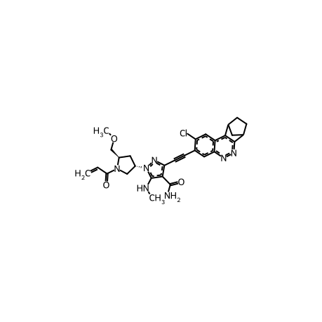 C=CC(=O)N1C[C@@H](n2nc(C#Cc3cc4nnc5c(c4cc3Cl)C3CCC5C3)c(C(N)=O)c2NC)C[C@@H]1COC